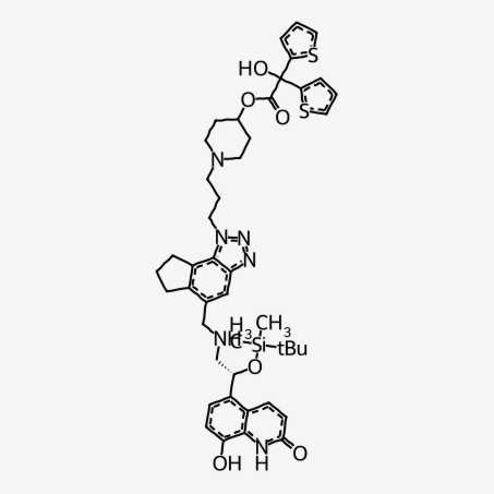 CC(C)(C)[Si](C)(C)O[C@@H](CNCc1cc2nnn(CCCN3CCC(OC(=O)C(O)(c4cccs4)c4cccs4)CC3)c2c2c1CCC2)c1ccc(O)c2[nH]c(=O)ccc12